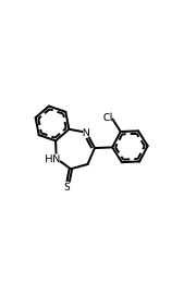 S=C1CC(c2ccccc2Cl)=Nc2ccccc2N1